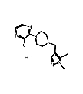 Cc1c(CN2CCN(c3nccnc3Cl)CC2)cnn1C.Cl